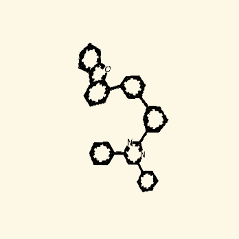 c1ccc(-c2cc(-c3ccccc3)nc(-c3cccc(-c4cccc(-c5cccc6c5oc5ccccc56)c4)c3)n2)cc1